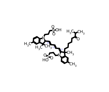 Cc1ccc2c(c1)C(C)(CCCCCC(=O)C(C)C)/C(=C/C=C/C=C/C1N(CCCS(=O)(=O)O)c3ccc(C)cc3C1(C)C)N2CCCS(=O)(=O)O